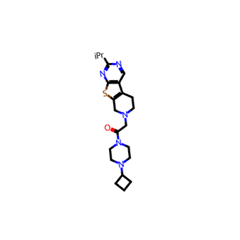 CC(C)c1ncc2c3c(sc2n1)CN(CC(=O)N1CCN(C2CCC2)CC1)CC3